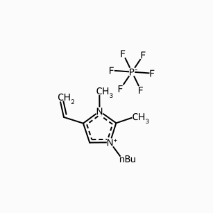 C=Cc1c[n+](CCCC)c(C)n1C.F[P-](F)(F)(F)(F)F